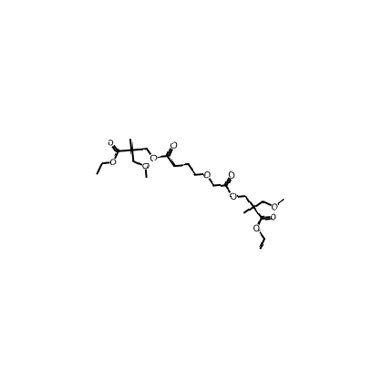 CCOC(=O)C(C)(COC)COC(=O)CCCOCC(=O)OCC(C)(COC)C(=O)OCC